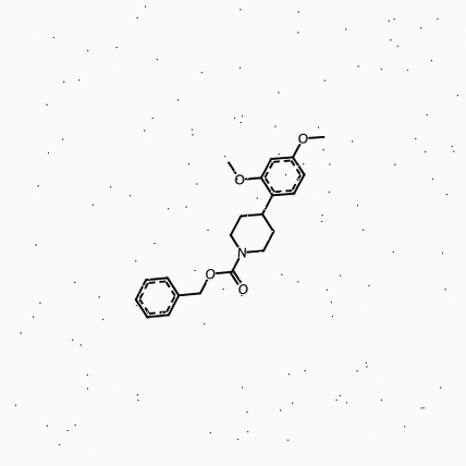 COc1ccc(C2CCN(C(=O)OCc3ccccc3)CC2)c(OC)c1